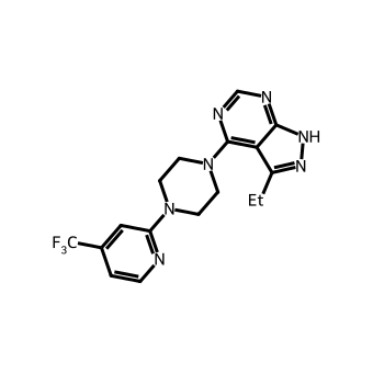 CCc1n[nH]c2ncnc(N3CCN(c4cc(C(F)(F)F)ccn4)CC3)c12